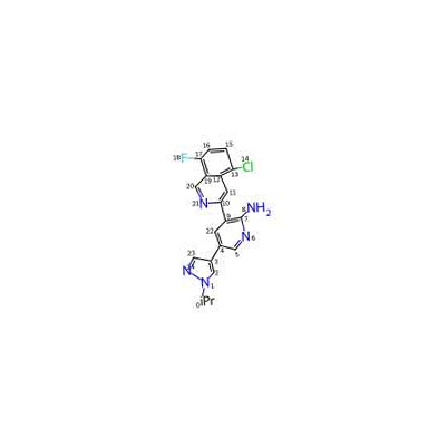 CC(C)n1cc(-c2cnc(N)c(-c3cc4c(Cl)ccc(F)c4cn3)c2)cn1